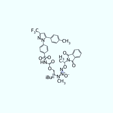 CC[C@@H](C)[C@@H](COC(=O)NS(=O)(=O)c1ccc(-n2nc(C(F)(F)F)cc2-c2ccc(C)cc2)cc1)N(C)/[N+]([O-])=N/OC(C)N1C(=O)c2ccccc2C1=O